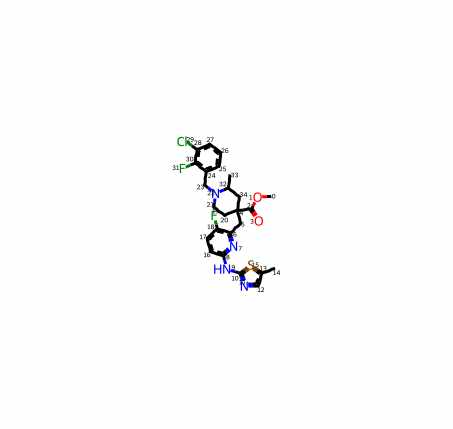 COC(=O)C1(Cc2nc(Nc3ncc(C)s3)ccc2F)CCN(Cc2cccc(Cl)c2F)C(C)C1